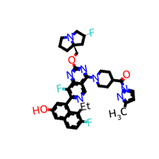 CCc1c(F)ccc2cc(O)cc(-c3ncc4c(N5CCC(C(=O)n6ccc(C)n6)CC5)nc(OC[C@@]56CCCN5C[C@H](F)C6)nc4c3F)c12